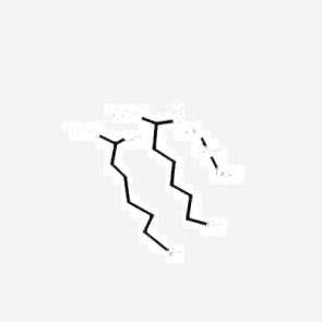 CC(C)CCCCCC(S)C(=O)[O-].CC(C)CCCCCC(S)C(=O)[O-].CCC[CH2][Sn+2][CH2]CCC